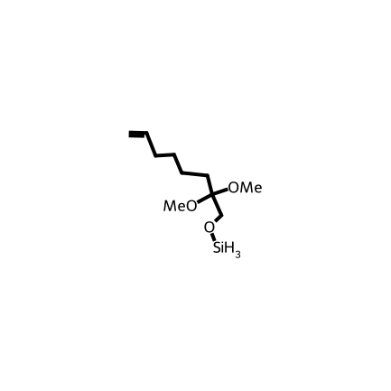 C=CCCCCC(CO[SiH3])(OC)OC